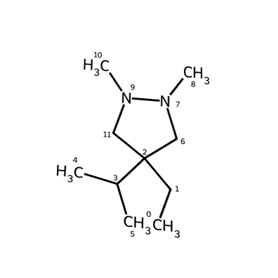 CCC1(C(C)C)CN(C)N(C)C1